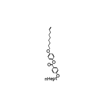 C=CCCCCCCCOc1ccc(OC(=O)c2ccc(OCCCCCCC)cc2)cc1